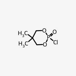 CC1(C)COP(=O)(Cl)OC1